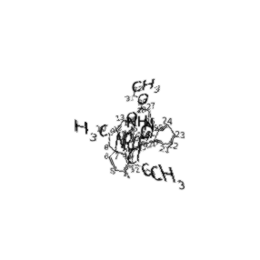 CCCC1=CC=CC(CCC)(N2CCN[C]2=[Ru-4]([Cl])([Cl])=[CH]c2ccccc2N=CC(=O)OCC)C1